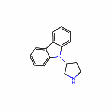 c1ccc2c(c1)c1ccccc1n2[C@@H]1CCNC1